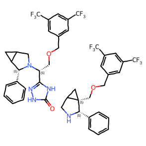 FC(F)(F)c1cc(COC[C@@]23CC2CN[C@H]3c2ccccc2)cc(C(F)(F)F)c1.O=c1[nH]nc([C@@H](COCc2cc(C(F)(F)F)cc(C(F)(F)F)c2)N2CC3CC3[C@H]2c2ccccc2)[nH]1